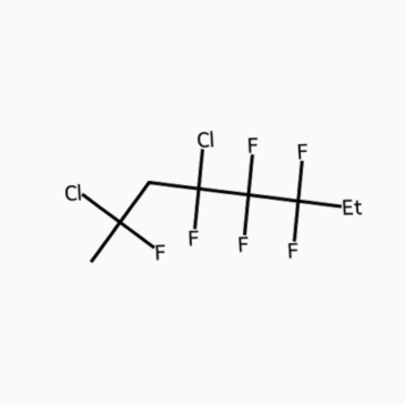 CCC(F)(F)C(F)(F)C(F)(Cl)CC(C)(F)Cl